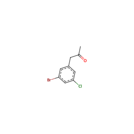 CC(=O)Cc1cc(Cl)cc(Br)c1